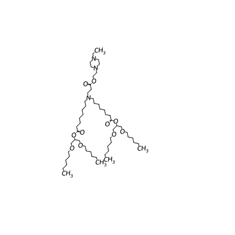 CCCCCCOCC(COCCCCCC)OC(=O)CCCCCCCN(CCCCCCCC(=O)OC(COCCCCCC)COCCCCCC)CCC(=O)OCCN1CCN(CC)CC1